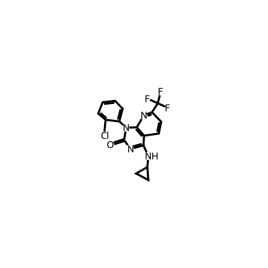 O=c1nc(NC2CC2)c2ccc(C(F)(F)F)nc2n1-c1ccccc1Cl